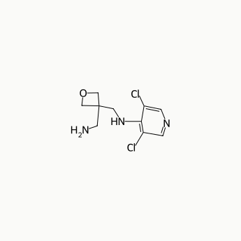 NCC1(CNc2c(Cl)cncc2Cl)COC1